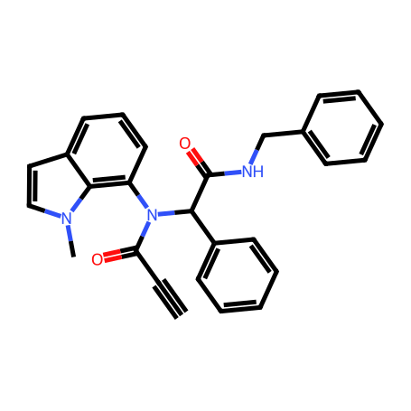 C#CC(=O)N(c1cccc2ccn(C)c12)C(C(=O)NCc1ccccc1)c1ccccc1